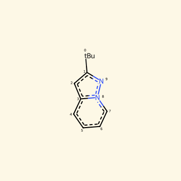 CC(C)(C)c1cc2ccccn2n1